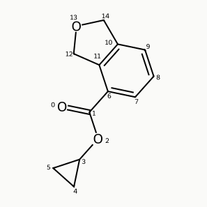 O=C(OC1CC1)c1cccc2c1COC2